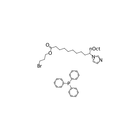 CCCCCCCCC(CCCCCCCCC(=O)OCCCBr)n1ccnc1.c1ccc(P(c2ccccc2)c2ccccc2)cc1